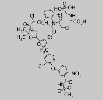 CC1(C)OC(c2ccco2)CN1C(=O)C(Cl)Cl.CCOCN(C(=O)CCl)c1c(C)cccc1CC.CS(=O)(=O)NC(=O)c1cc(Oc2ccc(C(F)(F)F)cc2Cl)ccc1[N+](=O)[O-].O=C(O)CNCP(=O)(O)O